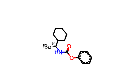 CCC(C)[C@@H](NC(=O)Oc1ccccc1)C1CCCCC1